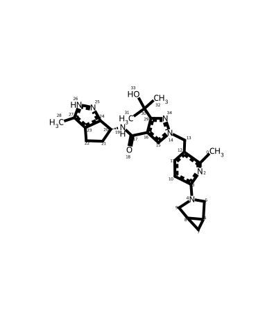 Cc1nc(N2CC3CC3C2)ccc1Cn1cc(C(=O)N[C@@H]2CCc3c2n[nH]c3C)c(C(C)(C)O)n1